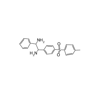 Cc1ccc(S(=O)(=O)c2ccc(C(N)C(N)c3ccccc3)cc2)cc1